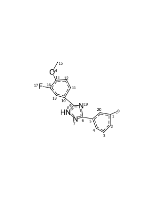 [CH2]c1cccc(-c2n[nH]c(-c3ccc(OC)c(F)c3)n2)c1